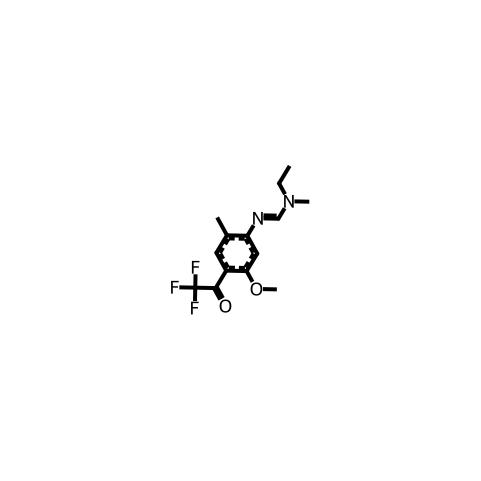 CCN(C)C=Nc1cc(OC)c(C(=O)C(F)(F)F)cc1C